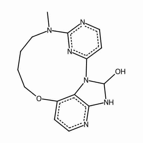 CN1CCCCOc2ccnc3c2N(c2ccnc1n2)C(O)N3